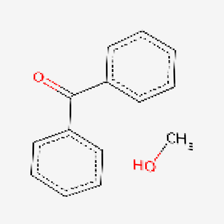 CO.O=C(c1ccccc1)c1ccccc1